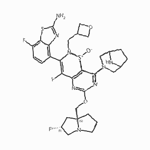 Nc1nc2c(C3=C(F)c4nc(OC[C@@]56CCCN5C[C@H](F)C6)nc(N5CC6CCC(C5)N6)c4[S+]([O-])N3CC3COC3)ccc(F)c2s1